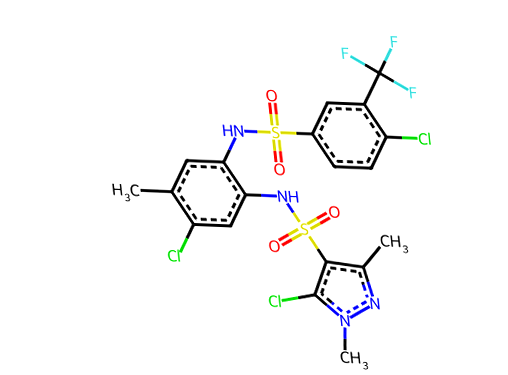 Cc1cc(NS(=O)(=O)c2ccc(Cl)c(C(F)(F)F)c2)c(NS(=O)(=O)c2c(C)nn(C)c2Cl)cc1Cl